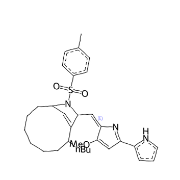 CCCCC1CCCCCCC2C=C1C(/C=C1/N=C(c3ccc[nH]3)C=C1OC)N2S(=O)(=O)c1ccc(C)cc1